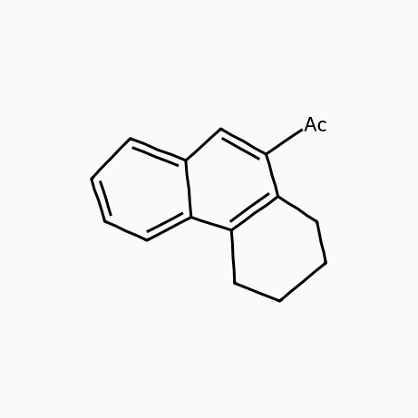 CC(=O)c1cc2ccccc2c2c1CCCC2